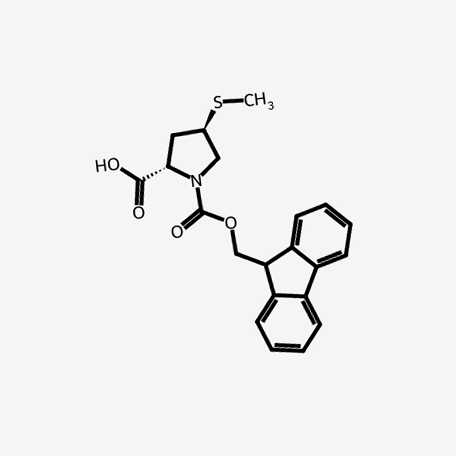 CS[C@@H]1C[C@@H](C(=O)O)N(C(=O)OCC2c3ccccc3-c3ccccc32)C1